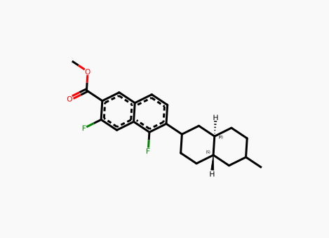 COC(=O)c1cc2ccc(C3CC[C@H]4CC(C)CC[C@@H]4C3)c(F)c2cc1F